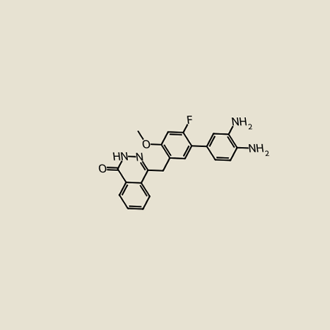 COc1cc(F)c(-c2ccc(N)c(N)c2)cc1Cc1n[nH]c(=O)c2ccccc12